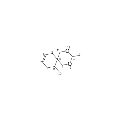 CC1OCC2(CC=CCC2C)CO1